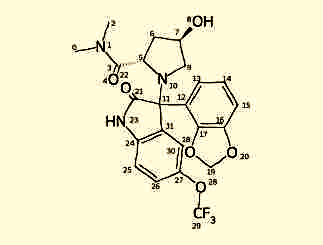 CN(C)C(=O)[C@@H]1C[C@@H](O)CN1C1(c2cccc3c2OCO3)C(=O)Nc2ccc(OC(F)(F)F)cc21